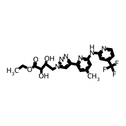 CCOC(=O)C(O)C(O)Cn1cc(-c2cc(C)cc(Nc3cc(C(F)(F)F)ccn3)n2)nn1